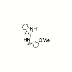 COc1cccc([C@@H](C)NCC2CNc3ccccc3O2)c1